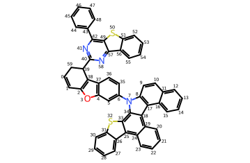 C1=Cc2oc3cc(-n4c5ccc6ccccc6c5c5c6ccccc6c6c7ccccc7sc6c54)ccc3c2C(c2nc(-c3ccccc3)c3sc4ccccc4c3n2)C1